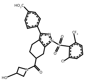 O=C(O)c1ccc(-c2nn(S(=O)(=O)c3c(Cl)cccc3C(F)(F)F)c3c2CCC(C(=O)N2CC(O)C2)C3)cc1